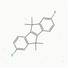 CC1(C)C2=C(c3ccc(F)cc31)C(C)(C)c1cc(F)ccc12